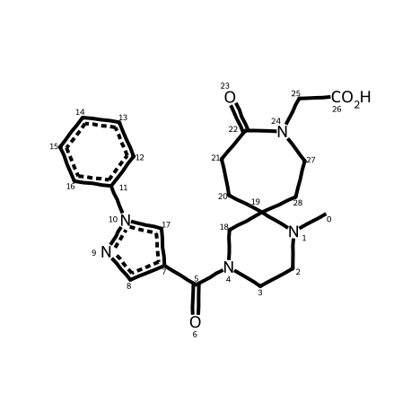 CN1CCN(C(=O)c2cnn(-c3ccccc3)c2)CC12CCC(=O)N(CC(=O)O)CC2